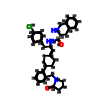 O=C(N[C@@H](C=C1CCC(c2ccccc2CN2CCCC2=O)CC1)Cc1ccc(Cl)cc1)[C@H]1Cc2ccccc2CN1